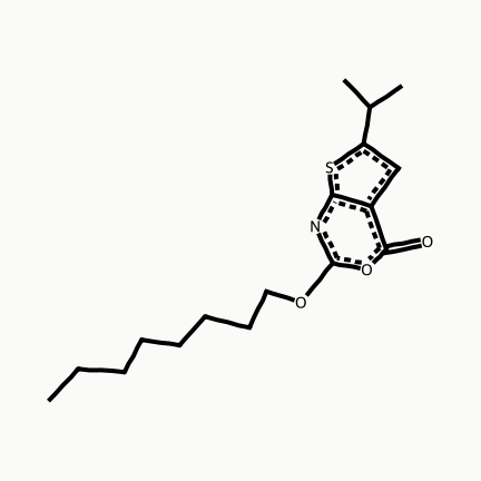 CCCCCCCCOc1nc2sc(C(C)C)cc2c(=O)o1